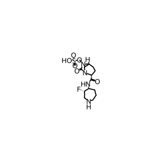 O=C(N[C@H]1CCCNC[C@@H]1F)[C@@H]1CC[C@@H]2CN1C(=O)N2OS(=O)(=O)O